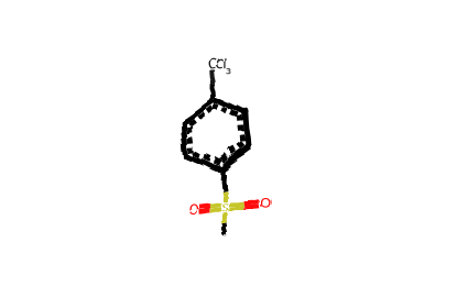 CS(=O)(=O)c1ccc(C(Cl)(Cl)Cl)cc1